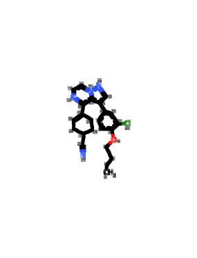 CCCCOc1ccc(-c2cnn3ccnc(C4=CCC(C#N)CC4)c23)cc1Cl